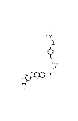 CCc1c2c(nc3ccc(OC(=O)N(C)CCN(C)C(=O)OCc4ccc(NC(=O)[C@H](C)NC(=O)[C@@H](C)C(C)C)cc4)cc13)-c1cc3c(c(=O)n1C2)COC(=O)[C@]3(O)CC